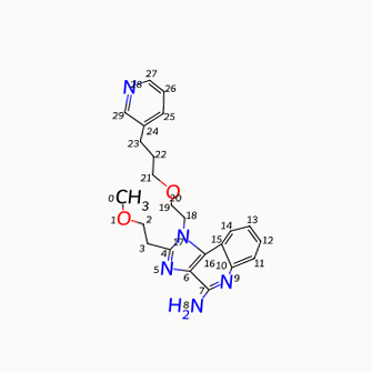 COCCc1nc2c(N)nc3ccccc3c2n1CCOCCCc1cccnc1